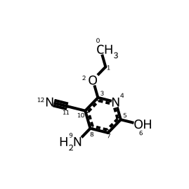 CCOc1nc(O)cc(N)c1C#N